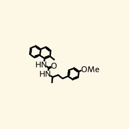 COc1ccc(CCC(C)NC(=O)Nc2c(C)ccc3ccccc23)cc1